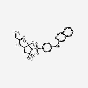 C=CC(=O)NC1CC(C)(C)N(S(=O)(=O)c2ccc(Nc3cc4ccccc4cn3)cc2)C1(C)C